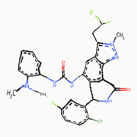 CN(C)c1ccccc1NC(=O)Nc1cc2c(CC(F)F)n(C)nc2c2c1C(c1cc(F)ccc1Cl)NC2=O